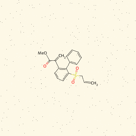 C=CCS(=O)(=O)c1cccc(C(=C)C(=O)OC)c1-c1ccccc1